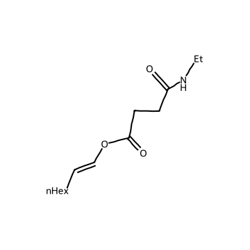 CCCCCCC=COC(=O)CCC(=O)NCC